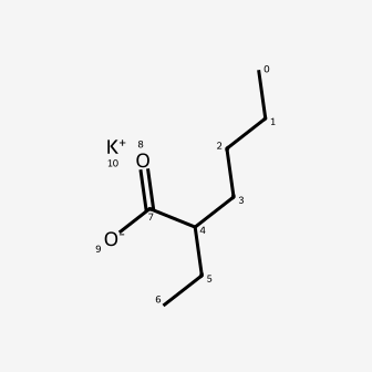 CCCCC(CC)C(=O)[O-].[K+]